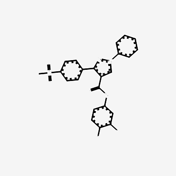 CS(=O)(=O)c1ccc(-c2nn(-c3ccccc3)cc2C(=O)Nc2ccc(F)c(F)c2)cc1